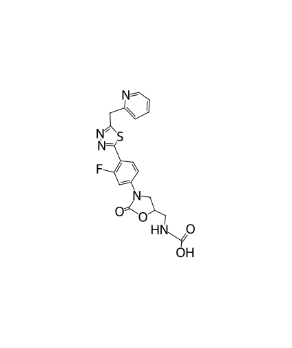 O=C(O)NCC1CN(c2ccc(-c3nnc(Cc4ccccn4)s3)c(F)c2)C(=O)O1